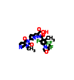 Cc1cc(N2CCOC[C@@H]2C(F)(F)F)cc(F)c1C(=O)N[C@@H](Cc1ccc(-n2c(=O)c3ccncc3n(C)c2=O)cn1)C(=O)O